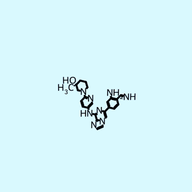 C[C@@]1(O)CCCN(c2ccc(Nc3nc(-c4ccc(C=N)c(N)c4)cn4ccnc34)cn2)C1